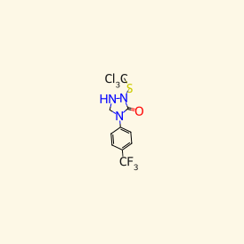 O=C1N(SC(Cl)(Cl)Cl)NCN1c1ccc(C(F)(F)F)cc1